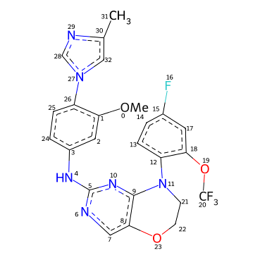 COc1cc(Nc2ncc3c(n2)N(c2ccc(F)cc2OC(F)(F)F)CCO3)ccc1-n1cnc(C)c1